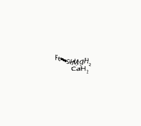 [CaH2].[MgH2].[SiH3][Fe]